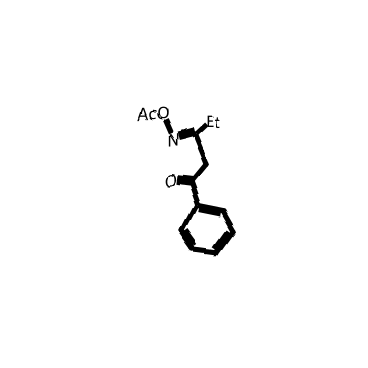 CCC(CC(=O)c1ccccc1)=NOC(C)=O